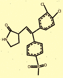 CS(=O)(=O)c1ccc(/C(=C\C2CCNC2=O)c2ccc(Cl)c(Cl)c2)cc1